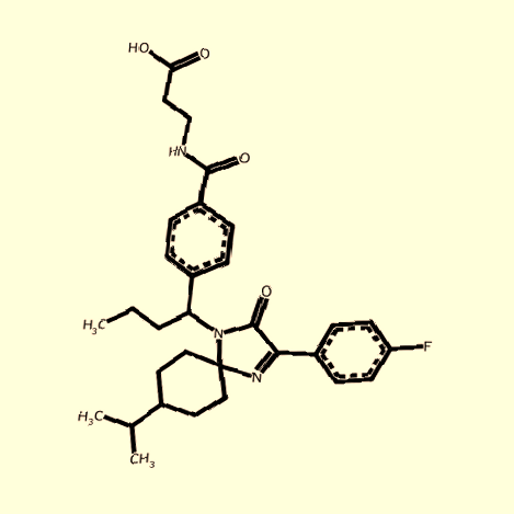 CCCC(c1ccc(C(=O)NCCC(=O)O)cc1)N1C(=O)C(c2ccc(F)cc2)=NC12CCC(C(C)C)CC2